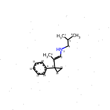 C/C(=C\NCC(C)C)C1(c2ccccc2)CC1